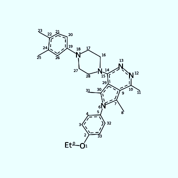 CCOc1ccc(-n2c(C)c3c(C)nnc(N4CCN(c5ccc(C)c(C)c5)CC4)c3c2C)cc1